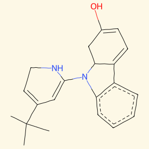 CC(C)(C)C1=CCNC(N2c3ccccc3C3=CC=C(O)CC32)=C1